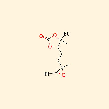 CCC1OC1(C)CCC1OC(=O)OC1(C)CC